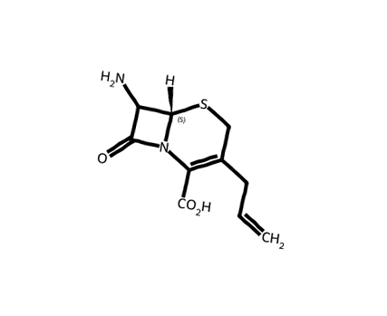 C=CCC1=C(C(=O)O)N2C(=O)C(N)[C@@H]2SC1